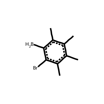 Bc1c(C)c(C)c(C)c(C)c1Br